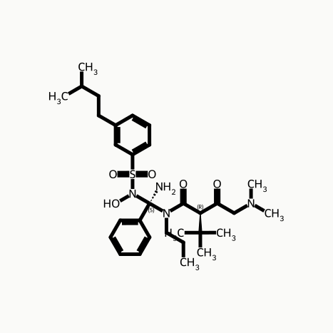 CCCN(C(=O)[C@@H](C(=O)CN(C)C)C(C)(C)C)[C@@](N)(c1ccccc1)N(O)S(=O)(=O)c1cccc(CCC(C)C)c1